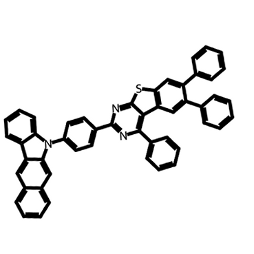 c1ccc(-c2cc3sc4nc(-c5ccc(-n6c7ccccc7c7cc8ccccc8cc76)cc5)nc(-c5ccccc5)c4c3cc2-c2ccccc2)cc1